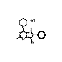 Cc1nc(N2CCCCC2)c2[nH]c(-c3ccccc3)c(Br)c2n1.Cl